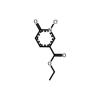 CCOC(=O)c1ccc(=O)n(Cl)c1